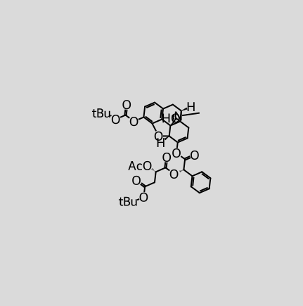 CC(=O)O[C@@H](CC(=O)OC(C)(C)C)C(=O)O[C@H](C(=O)OC1=CC[C@@]2(O)[C@H]3Cc4ccc(OC(=O)OC(C)(C)C)c5c4[C@@]2(CCN3C)[C@H]1O5)c1ccccc1